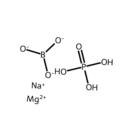 O=P(O)(O)O.[Mg+2].[Na+].[O-]B([O-])[O-]